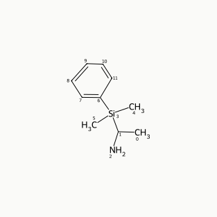 CC(N)[Si](C)(C)c1ccccc1